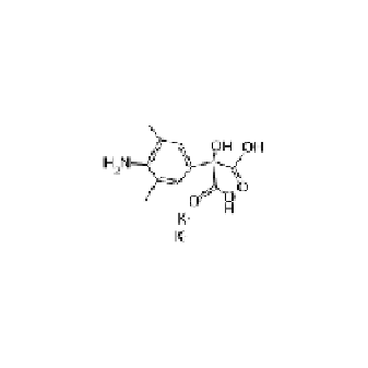 Cc1cc(C(O)(C(=O)O)C(=O)O)cc(C)c1N.[K].[K]